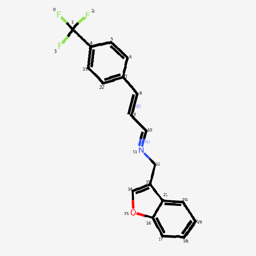 FC(F)(F)c1ccc(/C=C/C=N/Cc2coc3ccccc23)cc1